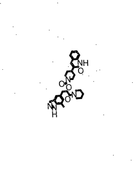 Cc1cc(CC(OC(=O)N2CCC(c3cc4ccccc4[nH]c3=O)CC2)C(=O)N2CCCCC2)cc2cn[nH]c12